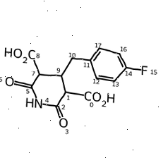 O=C(O)C1C(=O)NC(=O)C(C(=O)O)C1Cc1ccc(F)cc1